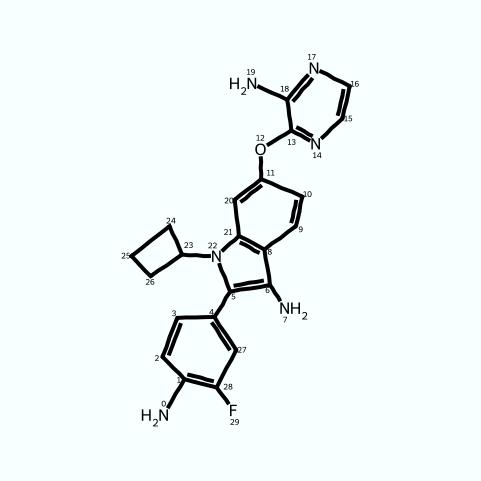 Nc1ccc(-c2c(N)c3ccc(Oc4nccnc4N)cc3n2C2CCC2)cc1F